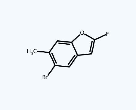 Cc1cc2oc(F)cc2cc1Br